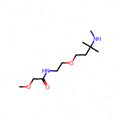 CNC(C)(C)CCOCCNC(=O)COC